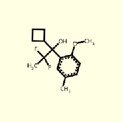 COc1ccc(C)cc1C(O)(C1CCC1)C(C)(F)F